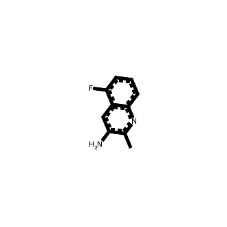 Cc1nc2cccc(F)c2cc1N